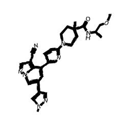 COCC(C)NC(=O)C1(C)CCN(c2ccc(-c3cc(-c4cnn(C)c4)cn4ncc(C#N)c34)cn2)CC1